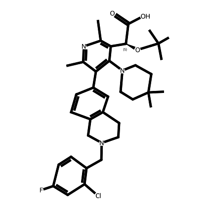 Cc1nc(C)c([C@H](OC(C)(C)C)C(=O)O)c(N2CCC(C)(C)CC2)c1-c1ccc2c(c1)CCN(Cc1ccc(F)cc1Cl)C2